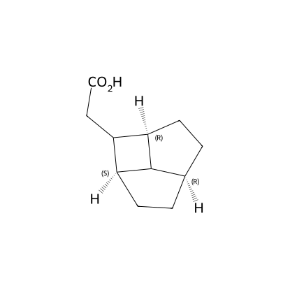 O=C(O)CC1[C@H]2CC[C@H]3CC[C@@H]1C32